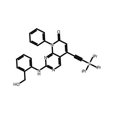 CC(C)[Si](C#Cc1cc(=O)n(-c2ccccc2)c2nc(Nc3ccccc3CO)ncc12)(C(C)C)C(C)C